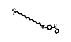 COC(=O)CCCCCCCCCCCCCCCNc1ccc(C(=O)N2CCCC2)cc1